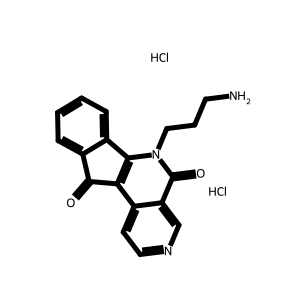 Cl.Cl.NCCCn1c2c(c3ccncc3c1=O)C(=O)c1ccccc1-2